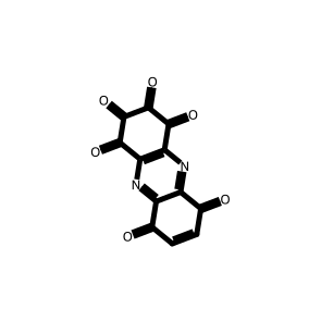 O=C1C=CC(=O)c2nc3c(=O)c(=O)c(=O)c(=O)c3nc21